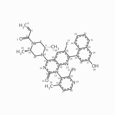 C=CC(=O)N1C[C@H](C)N(c2nc(=O)n(-c3c(C)ccnc3C(C)C)c3nc(-c4cc(O)cc5ccccc45)c(F)cc23)C[C@H]1C